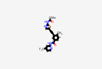 COC(=O)Nc1ncc(C#Cc2cc(C(=O)Nc3cc(C(F)(F)F)ccn3)ccc2C)s1